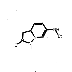 CCNC1=CN2NN(C)CC2C=C1